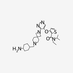 CCN(C(=O)c1sccc1Oc1cncnc1N1CC2(CCN(CC3CCC(N)CC3)CC2)C1)C(C)C